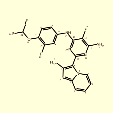 Cc1nc2ccccn2c1-c1nc(N)c(F)c(Nc2ccc(OC(F)F)c(F)c2)n1